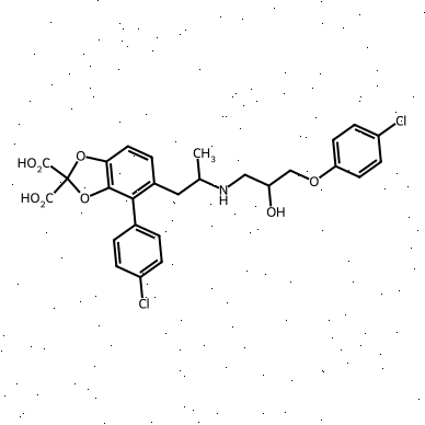 CC(Cc1ccc2c(c1-c1ccc(Cl)cc1)OC(C(=O)O)(C(=O)O)O2)NCC(O)COc1ccc(Cl)cc1